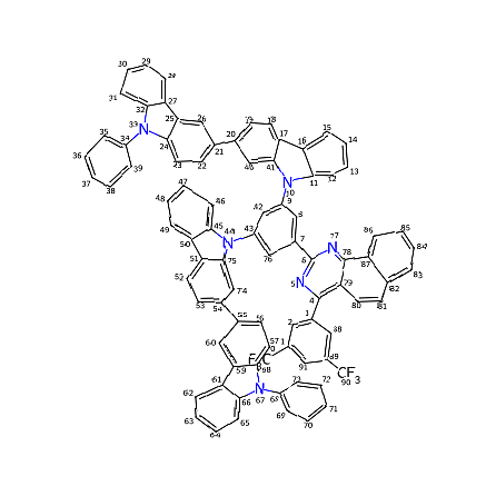 FC(F)(F)c1cc(-c2nc(-c3cc(-n4c5ccccc5c5ccc(-c6ccc7c(c6)c6ccccc6n7-c6ccccc6)cc54)cc(-n4c5ccccc5c5ccc(-c6ccc7c(c6)c6ccccc6n7-c6ccccc6)cc54)c3)nc3c2ccc2ccccc23)cc(C(F)(F)F)c1